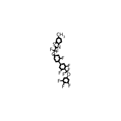 Cc1ccc2nc(C(F)(F)Oc3ccc(-c4cc(F)c(C(F)(F)Oc5cc(F)c(F)c(F)c5)c(F)c4)c(F)c3)sc2c1